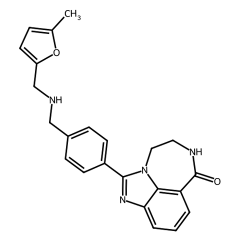 Cc1ccc(CNCc2ccc(-c3nc4cccc5c4n3CCNC5=O)cc2)o1